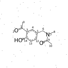 CC(=O)c1cc(CN(C)C(C)=O)ccc1O